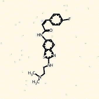 CN(C)CCNc1nc2ccc(NC(=O)/C=C\c3ccc(F)cc3)cc2s1